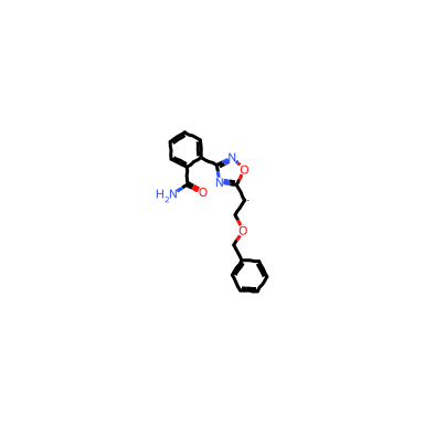 NC(=O)c1ccccc1-c1noc([CH]COCc2ccccc2)n1